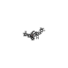 Cc1cc(C2=Cc3c([nH]c4c5c6c(cc34)CCc3cc4c7cc(-c8cc(C)c(C)c(C)c8)ccc7n(-c7ccccn7)c4c(c3-6)CC5)CC2)cc(C)c1C